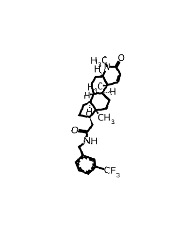 CN1C(=O)C=C[C@]2(C)[C@H]3CC[C@]4(C)[C@@H](CC(=O)NCc5cccc(C(F)(F)F)c5)CC[C@H]4[C@@H]3CC[C@@H]12